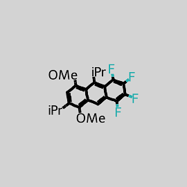 COc1c(C(C)C)cc(OC)c2c(C(C)C)c3c(F)c(F)c(F)c(F)c3cc12